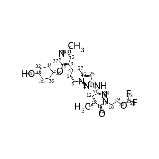 Cc1cc(-c2ccn3nc(Nc4cc(C)c(=O)n(CCOC(F)F)n4)cc3c2)c(OC2CCC(O)CC2)cn1